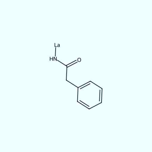 O=C(Cc1ccccc1)[NH][La]